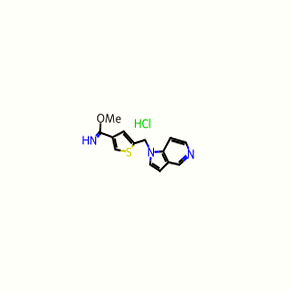 COC(=N)c1csc(Cn2ccc3cnccc32)c1.Cl